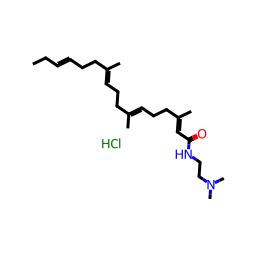 CCC=CCCC(C)=CCCC(C)=CCCC(C)=CC(=O)NCCN(C)C.Cl